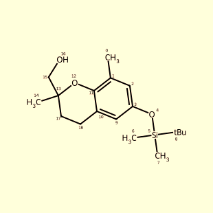 Cc1cc(O[Si](C)(C)C(C)(C)C)cc2c1OC(C)(CO)CC2